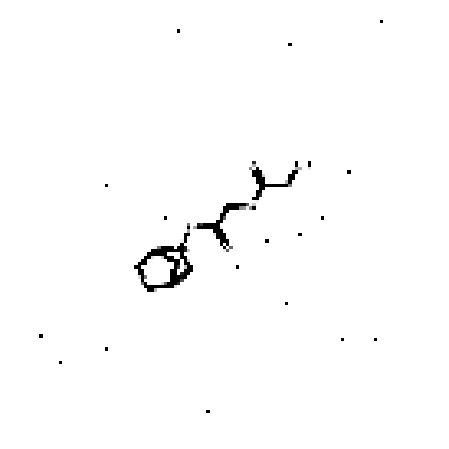 O=C(CO)OCC(=O)O[C@H]1CC2CCC1C2